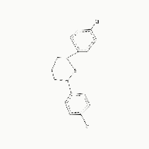 Clc1ccc(C2CCCC(c3ccc(Cl)cc3)S2)cc1